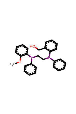 COc1ccccc1P(CCP(c1ccccc1)c1ccccc1CO)c1ccccc1